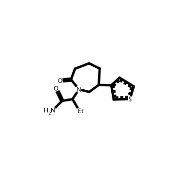 CCC(C(N)=O)N1CC(c2ccsc2)CCCC1=O